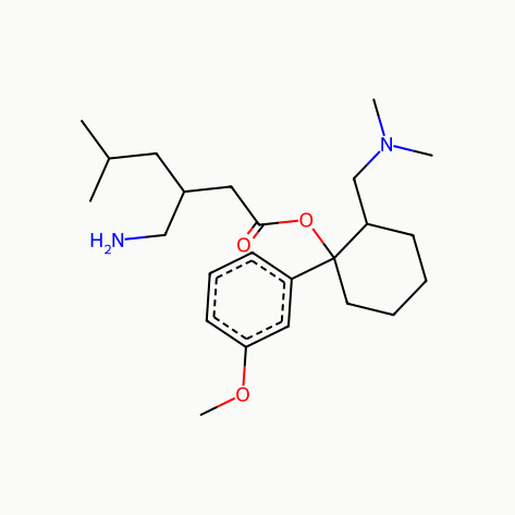 COc1cccc(C2(OC(=O)CC(CN)CC(C)C)CCCCC2CN(C)C)c1